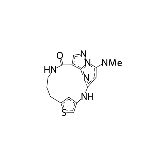 CNc1cc2nc3c(cnn13)C(=O)NCCCc1cc(cs1)N2